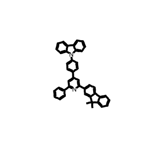 CC1(C)c2ccccc2-c2ccc(-c3cc(-c4ccc(-n5c6ccccc6c6ccccc65)cc4)cc(-c4ccccc4)n3)cc21